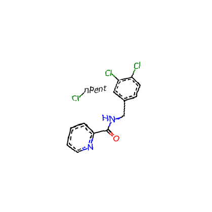 CCCCCCl.O=C(NCc1ccc(Cl)c(Cl)c1)c1ccccn1